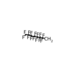 [CH2]C(F)(F)C(F)(F)C(F)(F)C(F)(F)C(F)(F)C(F)(F)C(F)F